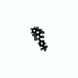 O=C(Nc1ccc(C(F)(F)F)cc1)C1=C(O)[C@H]2CCC[C@H]2NC1=O